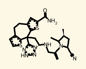 C=C(CN[C@H](C)CC1(c2nn[nH]n2)c2sccc2CCc2cc(C(N)=O)sc21)N1C(C#N)C[C@H](C)C1C